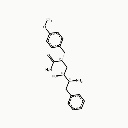 NC(=O)[C@H](Cc1ccc(OC(F)(F)F)cc1)C[C@H](O)[C@@H](N)Cc1ccccc1